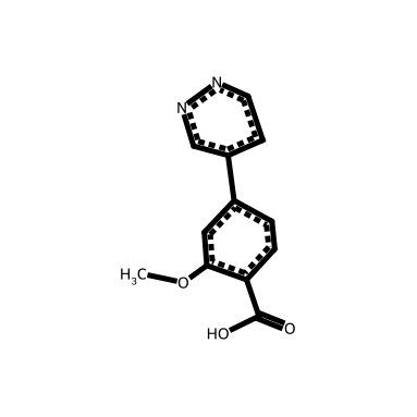 COc1cc(-c2ccnnc2)ccc1C(=O)O